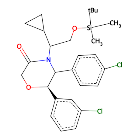 CC(C)(C)[Si](C)(C)OCC(C1CC1)N1C(=O)CO[C@H](c2cccc(Cl)c2)C1c1ccc(Cl)cc1